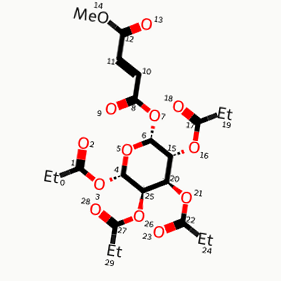 CCC(=O)O[C@@H]1O[C@H](OC(=O)/C=C/C(=O)OC)[C@H](OC(=O)CC)[C@@H](OC(=O)CC)[C@H]1OC(=O)CC